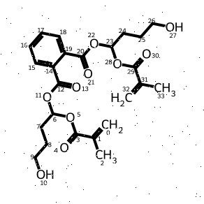 C=C(C)C(=O)OC(CCCO)OC(=O)c1ccccc1C(=O)OC(CCCO)OC(=O)C(=C)C